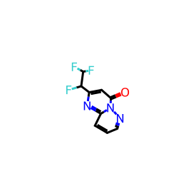 O=c1cc(C(F)C(F)F)nc2cccnn12